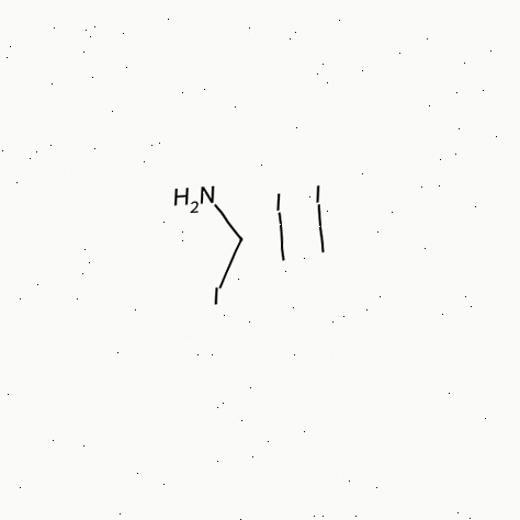 CI.CI.NCI